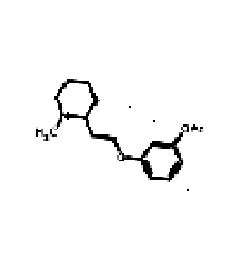 CC(=O)Oc1cccc(OCCC2CCCCN2C)c1